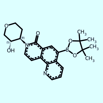 CC1(C)OB(c2cc3c(=O)n([C@@H]4CCOC[C@H]4O)ccc3c3ncccc23)OC1(C)C